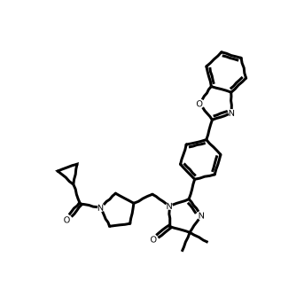 CC1(C)N=C(c2ccc(-c3nc4ccccc4o3)cc2)N(CC2CCN(C(=O)C3CC3)C2)C1=O